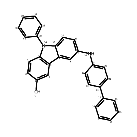 Cc1ccc2c(c1)c1cc(Nc3ccc(-c4ccccc4)cc3)ccc1n2-c1ccccc1